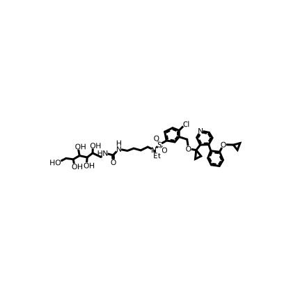 CCN(CCCCNC(=O)NCC(O)C(O)C(O)C(O)CO)S(=O)(=O)c1ccc(Cl)c(COC2(c3cnccc3-c3ccccc3OC3CC3)CC2)c1